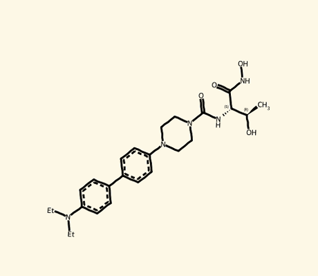 CCN(CC)c1ccc(-c2ccc(N3CCN(C(=O)N[C@H](C(=O)NO)[C@@H](C)O)CC3)cc2)cc1